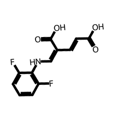 O=C(O)C=CC(=CNc1c(F)cccc1F)C(=O)O